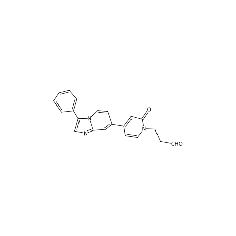 O=CCCn1ccc(-c2ccn3c(-c4ccccc4)cnc3c2)cc1=O